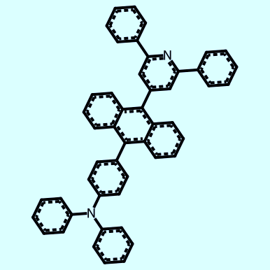 c1ccc(-c2cc(-c3c4ccccc4c(-c4ccc(N(c5ccccc5)c5ccccc5)cc4)c4ccccc34)cc(-c3ccccc3)n2)cc1